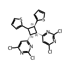 Clc1cc([C@@H]2[C@H](c3cc(Cl)nc(Cl)n3)C(c3cccs3)[C@H]2c2cccs2)nc(Cl)n1